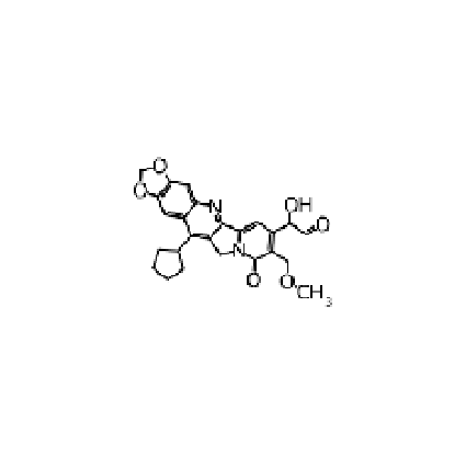 COCc1c(C(O)C=O)cc2n(c1=O)Cc1c-2nc2cc3c(cc2c1C1CCCC1)OCO3